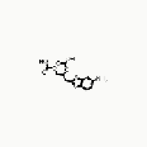 Nc1ccc2nc(CC(COC(=O)O)OC(=O)O)sc2c1